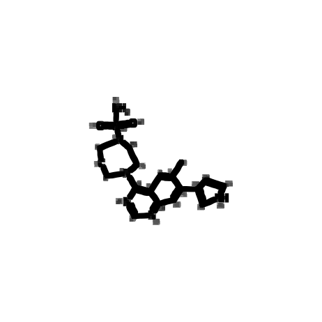 Cc1cc2c(N3CCCN(S(N)(=O)=O)CC3)ncnc2cc1-c1cc[nH]c1